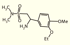 CCOc1cc(C(N)CS(=O)(=O)N(C)C)ccc1OC